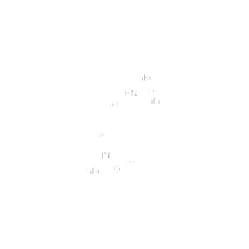 CCCCC(=O)Nc1c(C(C)C)cc(Cc2cc(C(C)C)c(NC(=O)CCCC)c(C(C)C)c2)cc1C(C)C